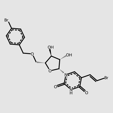 O=c1[nH]c(=O)n([C@@H]2O[C@H](COCc3ccc(Br)cc3)[C@@H](O)[C@@H]2O)cc1/C=C/Br